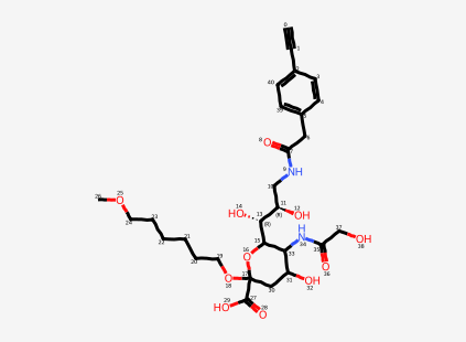 C#Cc1ccc(CC(=O)NC[C@@H](O)[C@@H](O)C2OC(OCCCCCCOC)(C(=O)O)CC(O)C2NC(=O)CO)cc1